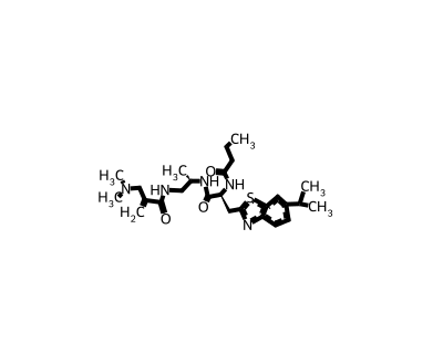 C=C(CN(C)C)C(=O)NC[C@H](C)NC(=O)[C@H](Cc1nc2ccc(C(C)C)cc2s1)NC(=O)CCC